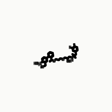 Cc1ccc(CC(C)(C)NCC(O)COCCCOC(C)c2ccccc2-c2ccc(C(=O)O)c(CC(C)C)c2)cc1F